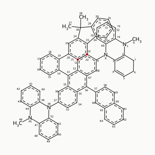 CN1C2=C(C=CCC2)N(c2ccc3c(-c4ccccc4-c4ccc5c(c4)C(C)(C)c4ccccc4-5)c4cc(N5c6ccccc6N(C)c6ccccc65)ccc4c(-c4ccc5ccccc5c4)c3c2)c2ccccc21